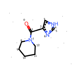 O=C(c1c[nH][c]n1)N1CCCCC1